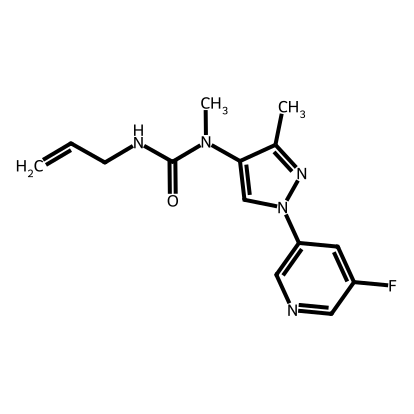 C=CCNC(=O)N(C)c1cn(-c2cncc(F)c2)nc1C